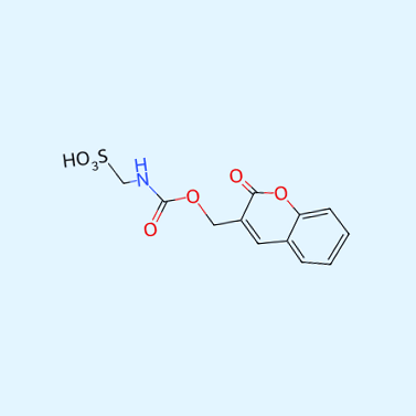 O=C(NCS(=O)(=O)O)OCc1cc2ccccc2oc1=O